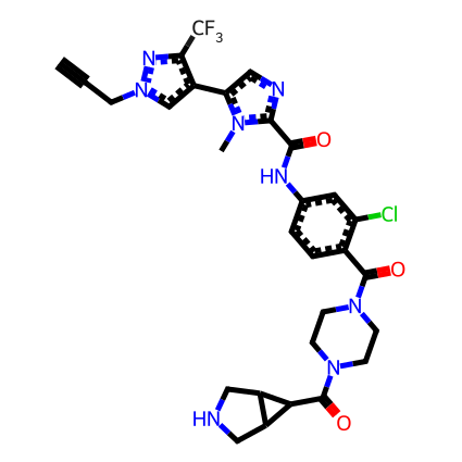 C#CCn1cc(-c2cnc(C(=O)Nc3ccc(C(=O)N4CCN(C(=O)C5C6CNCC65)CC4)c(Cl)c3)n2C)c(C(F)(F)F)n1